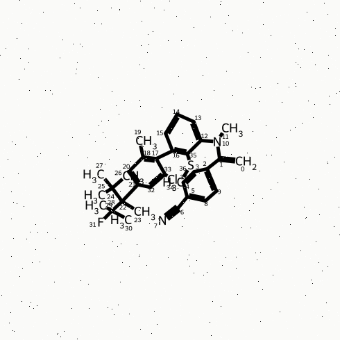 C=C(c1ccc(C#N)cc1)N(C)c1cccc(-c2c(C)cc(C(C)(C(C)(C)C)C(C)(C)F)cc2Cl)c1SC